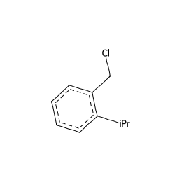 CC(C)c1ccccc1CCl